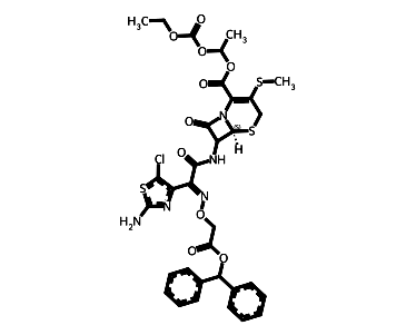 CCOC(=O)OC(C)OC(=O)C1=C(SC)CS[C@H]2C(NC(=O)C(=NOCC(=O)OC(c3ccccc3)c3ccccc3)c3nc(N)sc3Cl)C(=O)N12